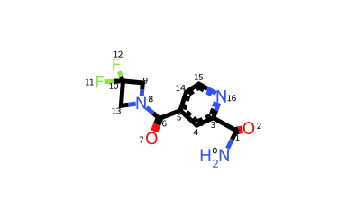 NC(=O)c1[c]c(C(=O)N2CC(F)(F)C2)ccn1